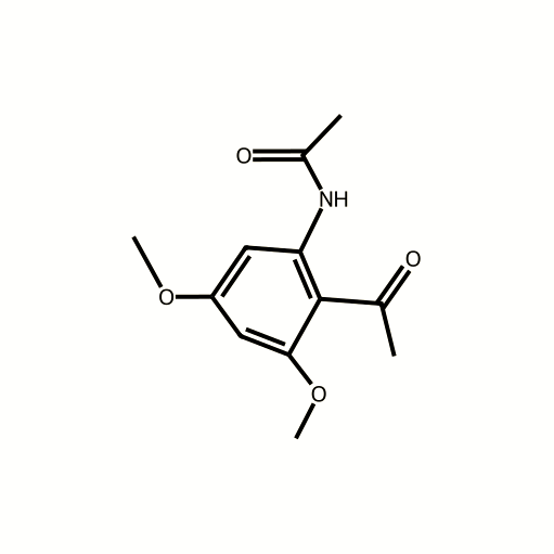 COc1cc(NC(C)=O)c(C(C)=O)c(OC)c1